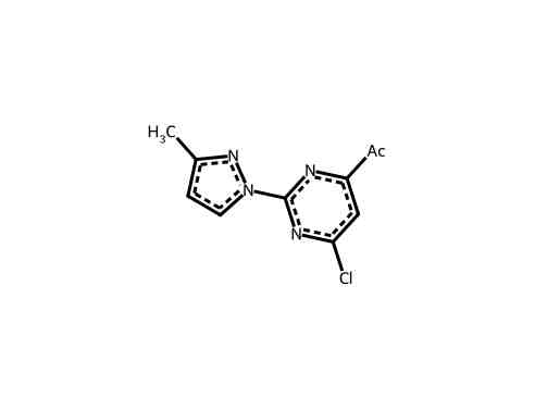 CC(=O)c1cc(Cl)nc(-n2ccc(C)n2)n1